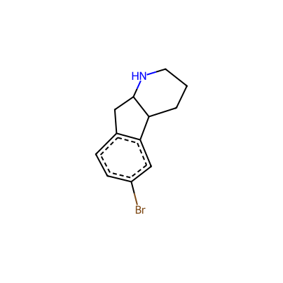 Brc1ccc2c(c1)C1CCCNC1C2